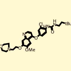 COc1cc2c(Oc3ccc(NC(=O)NCCC(C)(C)C)c(Cl)c3)ccnc2cc1OCCN1CCOCC1